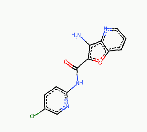 Nc1c(C(=O)Nc2ccc(Cl)cn2)oc2cccnc12